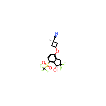 C[C@]1(C#N)C[C@@H](Oc2ccc(S(=O)(=O)C(F)(F)F)c3c2CC(F)(F)[C@H]3O)C1